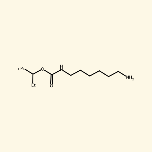 CCCC(CC)OC(=O)NCCCCCCN